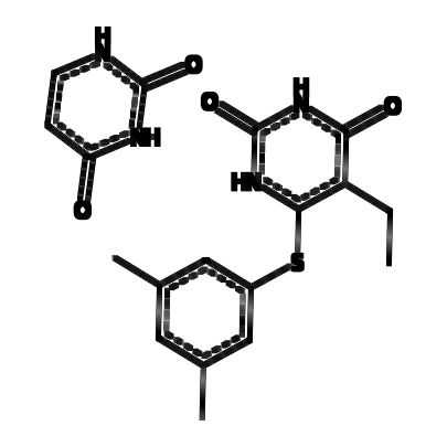 CCc1c(Sc2cc(C)cc(C)c2)[nH]c(=O)[nH]c1=O.O=c1cc[nH]c(=O)[nH]1